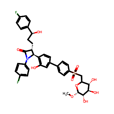 CO[C@@H]1OC(CS(=O)(=O)c2ccc(-c3ccc([C@@H]4[C@@H](CC[C@H](O)c5ccc(F)cc5)C(=O)N4c4ccc(F)cc4)c(O)c3)cc2)[C@H](O)[C@@H](O)[C@@H]1O